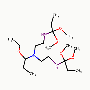 CCOC(CC)N(CCPC(CC)(OC)OC)CCPC(CC)(OC)OC